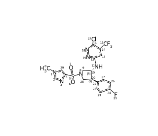 Cn1cnc(S(=O)(=O)N2C[C@H](Nc3cc(C(F)(F)F)c(Cl)nn3)[C@@H](c3ccc(F)cc3)C2)c1